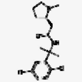 CN1CCC[C@@H]1CC(=O)NC(C)(C)c1cc(Cl)ccc1Cl